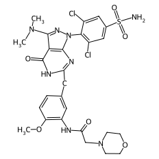 COc1ccc(Cc2nc3c(c(N(C)C)nn3-c3c(Cl)cc(S(N)(=O)=O)cc3Cl)c(=O)[nH]2)cc1NC(=O)CN1CCOCC1